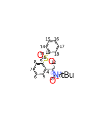 CC(C)(C)/[N+]([O-])=C/c1ccccc1S(=O)(=O)c1ccccc1